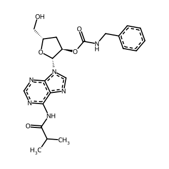 CC(C)C(=O)Nc1ncnc2c1ncn2[C@@H]1O[C@H](CO)C[C@H]1OC(=O)NCc1ccccc1